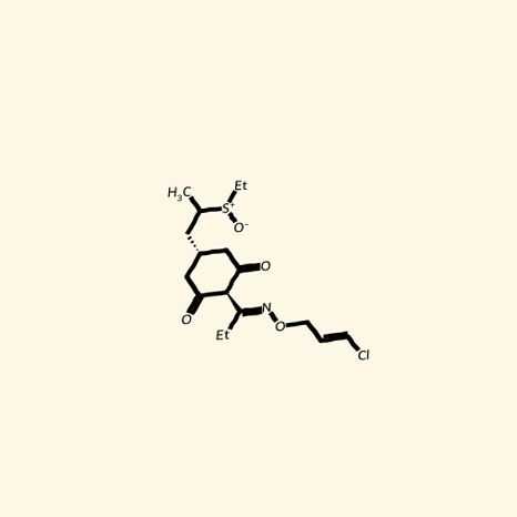 CCC(=NOCC=CCl)[C@H]1C(=O)C[C@H](CC(C)[S+]([O-])CC)CC1=O